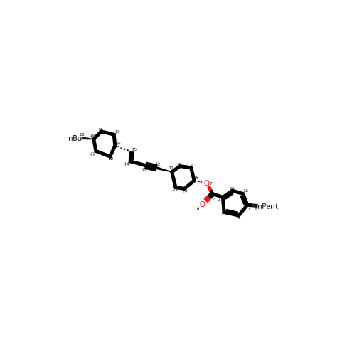 CCCCCc1ccc(C(=O)O[C@H]2CC[C@H](C#C/C=C/[C@H]3CC[C@H](CCCC)CC3)CC2)cc1